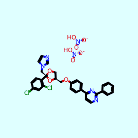 Clc1ccc([C@]2(Cn3ccnc3)OC[C@@H](COc3ccc(-c4ccnc(-c5ccccc5)n4)cc3)O2)c(Cl)c1.O=[N+]([O-])O.O=[N+]([O-])O